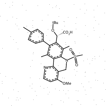 COc1ccnc2c1CN(S(C)(=O)=O)c1c(C)c([C@H](OC(C)(C)C)C(=O)O)c(-c3ccc(C)cc3)c(C)c1-2